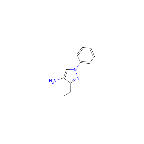 CCc1nn(-c2ccccc2)cc1N